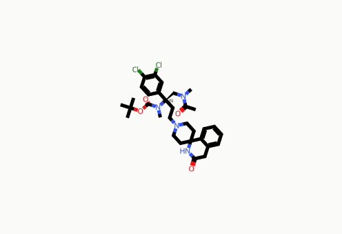 CC(=O)N(C)C[C@](CCN1CCC2(CC1)NC(=O)Cc1ccccc12)(c1ccc(Cl)c(Cl)c1)N(C)C(=O)OC(C)(C)C